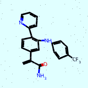 C=C(C(N)=O)c1ccc(-c2ccccn2)c(Nc2ccc(C(F)(F)F)cc2)c1